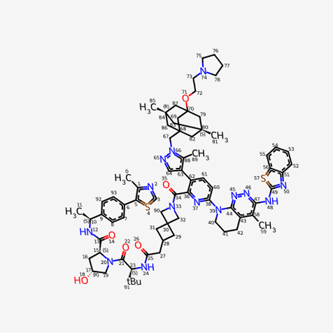 Cc1ncsc1-c1ccc([C@H](C)NC(=O)[C@@H]2C[C@@H](O)CN2C(=O)[C@@H](NC(=O)CC2CC3(C2)CN(C(=O)c2nc(N4CCCc5c4nnc(Nc4nc6ccccc6s4)c5C)ccc2-c2cnn(CC45CC6(OCCN7CCCC7)C[C@](C)(C4)C[C@](C)(C5)C6)c2C)C3)C(C)(C)C)cc1